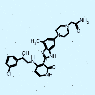 Cc1cc(N2CCN(CC(N)=O)CC2)cc2[nH]c(-c3c(NC[C@@H](O)c4cccc(Cl)c4)cc[nH]c3=O)nc12